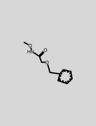 CONC(=O)COCc1ccccc1